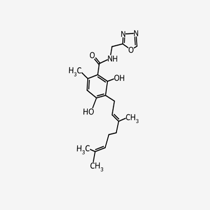 CC(C)=CCC/C(C)=C/Cc1c(O)cc(C)c(C(=O)NCc2nnco2)c1O